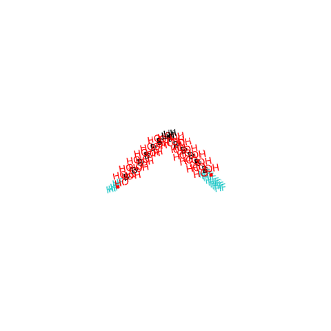 F.F.F.F.F.F.F.F.F.F.F.F.OB(O)O.OB(O)O.OB(O)O.OB(O)O.OB(O)O.OB(O)O.OB(O)O.OB(O)O.OB(O)O.OB(O)O.OB(O)O.OB(O)O.[LiH].[LiH]